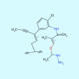 C=C(Nc1cc(/C(C#CC)=C/CC(CCC)CCC)ccc1CC)/C(C)=C/OC(C)NN